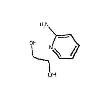 Nc1ccccn1.OCCO